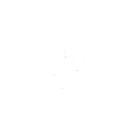 CC(C)C(=O)c1cnc2ccc(-c3cc(Cl)c(O)c(Cl)c3)cc2c1NC1CCC(NC(=O)OC(C)(C)C)CC1